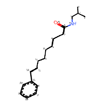 CC(C)CNC(=O)CCCCCCCCc1ccccc1